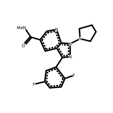 CNC(=O)c1cnc2c(c1)c(-c1cc(F)ccc1F)nn2N1CCCC1